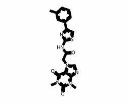 Cc1cccc(-c2csc(NC(=O)Cn3cnc4c3c(=O)n(C)c(=O)n4C)n2)c1